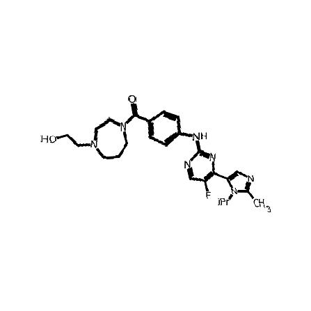 Cc1ncc(-c2nc(Nc3ccc(C(=O)N4CCCN(CCO)CC4)cc3)ncc2F)n1C(C)C